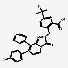 O=C(O)c1nc(C(F)(F)F)ccc1Cn1nc2c(-c3ccncc3)c(-c3ccc(Cl)cc3)ccn2c1=O